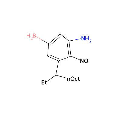 Bc1cc(N)c(N=O)c(C(CC)CCCCCCCC)c1